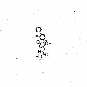 CC(=O)NCC1CN(C2(CO)C=CC(c3ccccc3)=C(F)C2)C(=O)O1